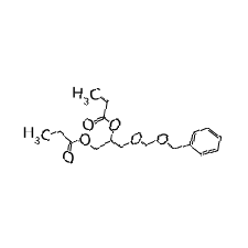 CCC(=O)OCC(COCOCc1ccccc1)OC(=O)CC